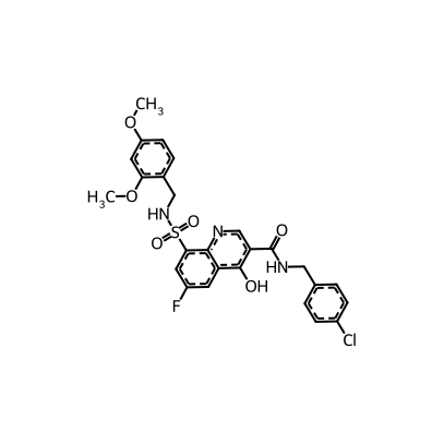 COc1ccc(CNS(=O)(=O)c2cc(F)cc3c(O)c(C(=O)NCc4ccc(Cl)cc4)cnc23)c(OC)c1